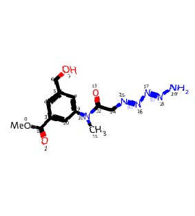 COC(=O)c1cc(CO)cc(N(C)C(=O)C/N=N/N=N/N)c1